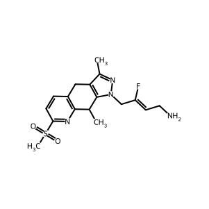 Cc1nn(C/C(F)=C/CN)c2c1Cc1ccc(S(C)(=O)=O)nc1C2C